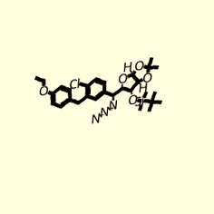 CCOc1ccc(Cc2cc([C@H](N=[N+]=[N-])[C@@H]3O[C@H]4OC(C)(C)O[C@H]4[C@@H]3O[Si](C)(C)C(C)(C)C)ccc2Cl)cc1